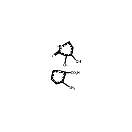 Nc1ccccc1C(=O)O.O=c1[nH]ccc(O)c1O